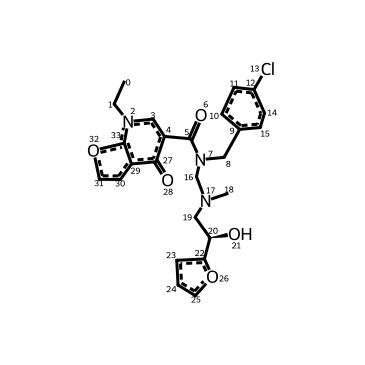 CCn1cc(C(=O)N(Cc2ccc(Cl)cc2)CN(C)C[C@@H](O)c2ccco2)c(=O)c2ccoc21